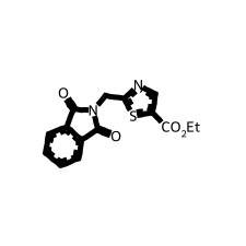 CCOC(=O)c1cnc(CN2C(=O)c3ccccc3C2=O)s1